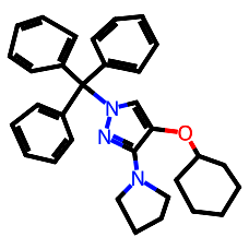 c1ccc(C(c2ccccc2)(c2ccccc2)n2cc(OC3CCCCC3)c(N3CCCC3)n2)cc1